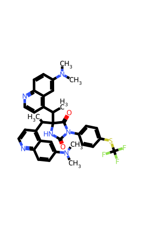 CC(c1ccnc2ccc(N(C)C)cc12)C1(C(C)c2ccnc3ccc(N(C)C)cc23)NC(=O)N(c2ccc(SC(F)(F)F)cc2)C1=O